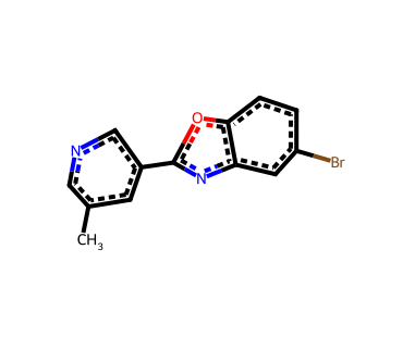 Cc1cncc(-c2nc3cc(Br)ccc3o2)c1